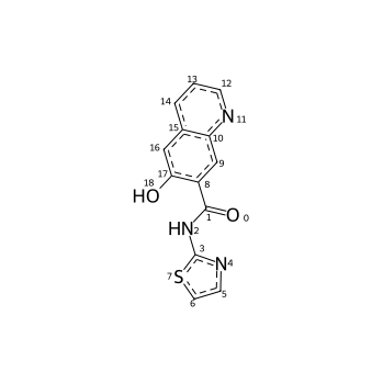 O=C(Nc1nccs1)c1cc2ncccc2cc1O